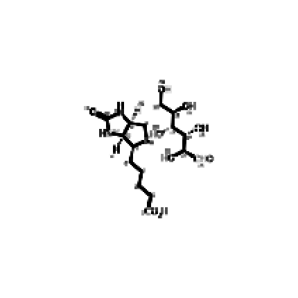 O=C(O)CCCC[C@@H]1SC[C@@H]2NC(=O)N[C@@H]21.O=C[C@@H](O)[C@@H](O)[C@H](O)[C@H](O)CO